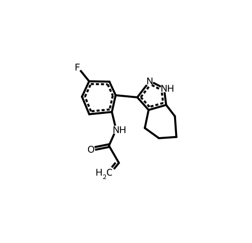 C=CC(=O)Nc1ccc(F)cc1-c1n[nH]c2c1CCCC2